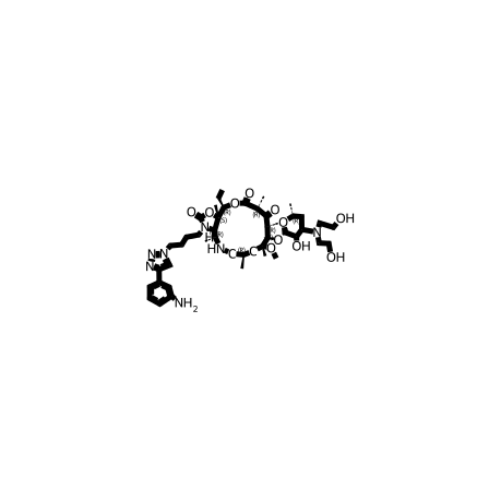 CC[C@H]1OC(=O)[C@H](C)C(=O)[C@H](C)[C@@H](O[C@@H]2O[C@H](C)CC(N(CCO)CCO)C2O)[C@](C)(OC)C[C@@H](C)CN[C@H](C)[C@H]2N(CCCCn3cc(-c4cccc(N)c4)nn3)C(=O)O[C@]12C